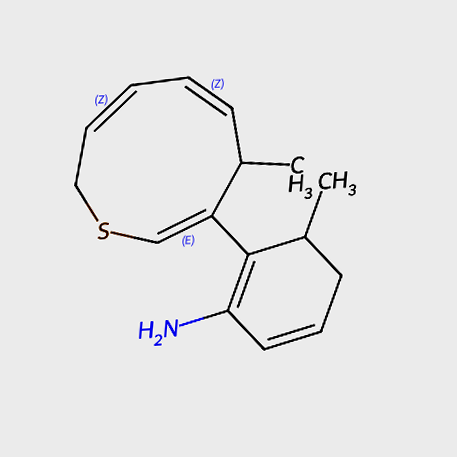 CC1CC=CC(N)=C1/C1=C/SC/C=C\C=C/C1C